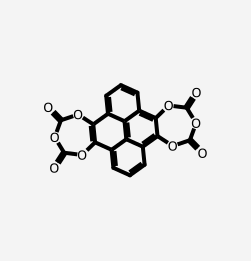 O=c1oc(=O)oc2c3cccc4c5oc(=O)oc(=O)oc5c5cccc(c2o1)c5c34